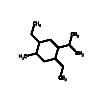 CCC1CC(C(C)N)C(CC)CC1C